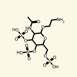 CC(=O)NC1C(OCCN)OC(COS(=O)(=O)O)C(OS(=O)(=O)O)C1OS(=O)(=O)O